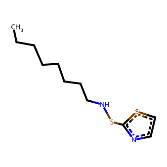 CCCCCCCCNSc1nccs1